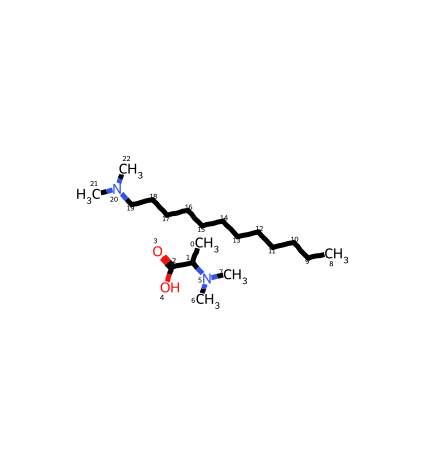 CC(C(=O)O)N(C)C.CCCCCCCCCCCCN(C)C